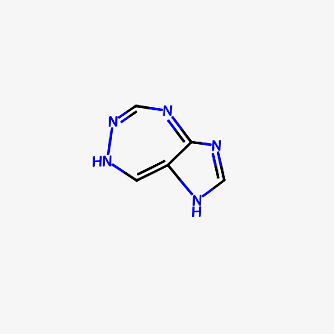 C1=NNC=c2[nH]cnc2=N1